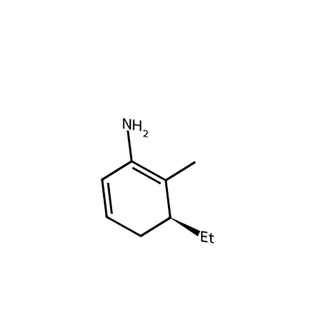 CC[C@H]1CC=CC(N)=C1C